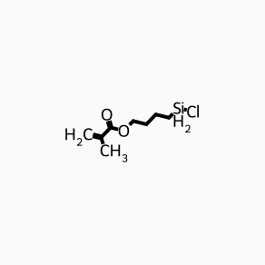 C=C(C)C(=O)OCCCC[SiH2]Cl